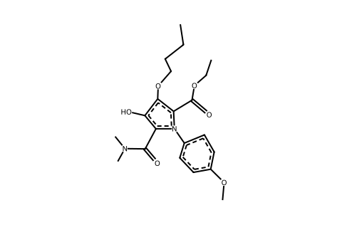 CCCCOc1c(O)c(C(=O)N(C)C)n(-c2ccc(OC)cc2)c1C(=O)OCC